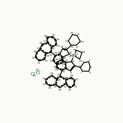 C1=C(C2CCCCC2)[CH]([Hf+2]2([CH]3C(C4CCCCC4)=Cc4c(-c5c6ccccc6cc6ccccc56)cccc43)[CH2]C[CH2]2)c2cccc(-c3c4ccccc4cc4ccccc34)c21.[Cl-].[Cl-]